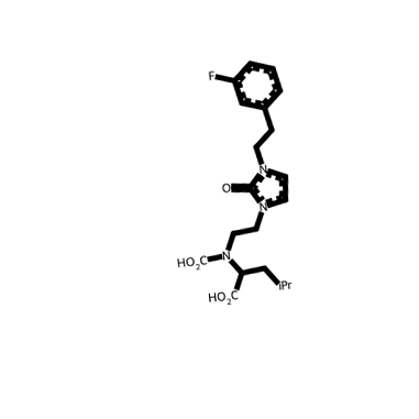 CC(C)CC(C(=O)O)N(CCn1ccn(CCc2cccc(F)c2)c1=O)C(=O)O